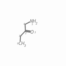 C[CH]C(=O)CN